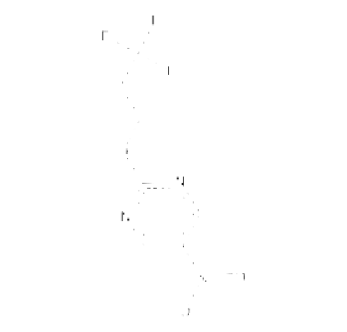 O=[N+]([O-])c1cnc(OCCC(F)(F)F)nc1